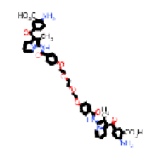 Cc1c(C(=O)c2ccc(N)c(C(=O)O)c2)c2ccccn2c1NC(=O)c1ccc(OCCOCCOCCOc2ccc(C(=O)Nc3c(C)c(C(=O)c4ccc(N)c(C(=O)O)c4)c4ccccn34)cc2)cc1